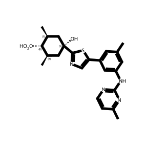 Cc1cc(Nc2nccc(C)n2)cc(-c2cnc([C@@]3(O)C[C@@H](C)[C@H](C(=O)O)[C@@H](C)C3)s2)c1